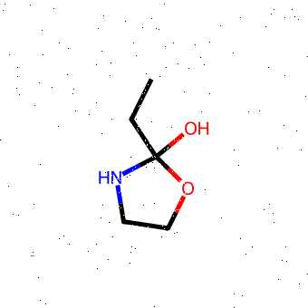 CCC1(O)NCCO1